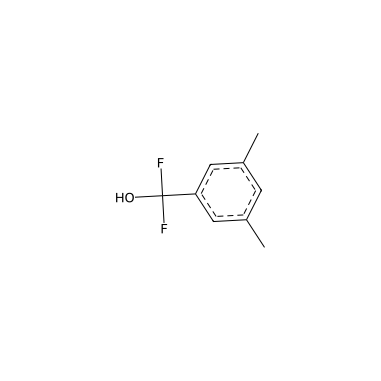 Cc1cc(C)cc(C(O)(F)F)c1